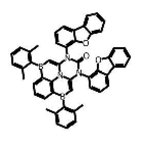 Cc1cccc(C)c1B1C=C2N3C(=CB(c4c(C)cccc4C)c4cccc1c43)N(c1cccc3c1oc1ccccc13)C(=O)N2c1cccc2c1oc1ccccc12